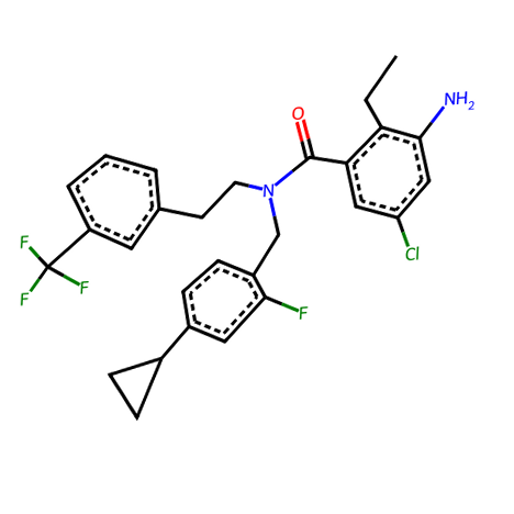 CCc1c(N)cc(Cl)cc1C(=O)N(CCc1cccc(C(F)(F)F)c1)Cc1ccc(C2CC2)cc1F